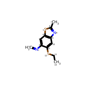 C=Nc1cc2sc(C)nc2cc1SCC